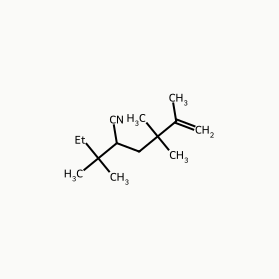 C=C(C)C(C)(C)CC(C#N)C(C)(C)CC